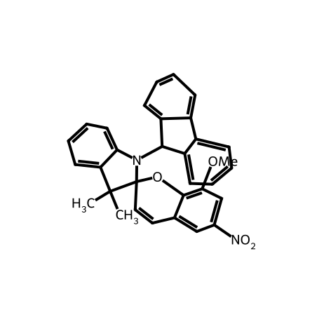 COc1cc([N+](=O)[O-])cc2c1OC1(C=C2)N(C2c3ccccc3-c3ccccc32)c2ccccc2C1(C)C